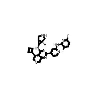 Fc1ccc(F)c(Nc2cc(-c3nc(NC4C5CNC[C@H]54)c4c(C5=CC=C5)cncc4n3)ccn2)n1